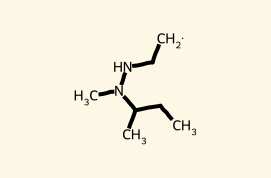 [CH2]CNN(C)C(C)CC